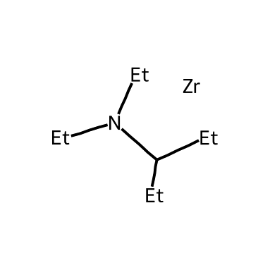 CCC(CC)N(CC)CC.[Zr]